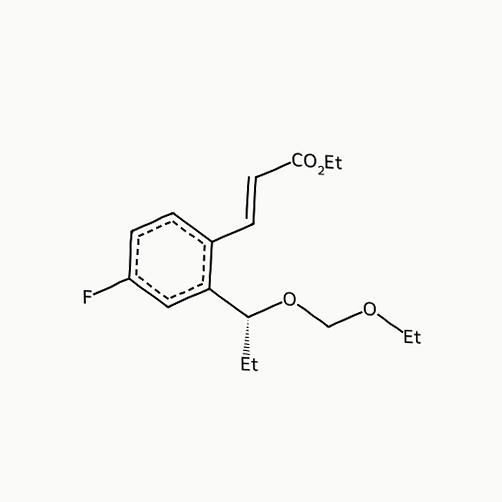 CCOCO[C@H](CC)c1cc(F)ccc1/C=C/C(=O)OCC